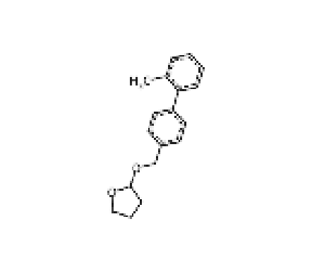 Cc1ccccc1-c1ccc(COC2CCCO2)cc1